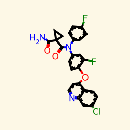 NC(=O)C1(C(=O)N(c2ccc(F)cc2)c2ccc(Oc3ccnc4cc(Cl)ccc34)c(F)c2)CC1